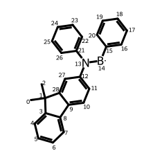 CC1(C)c2ccccc2-c2ccc(N([B]c3ccccc3)c3ccccc3)cc21